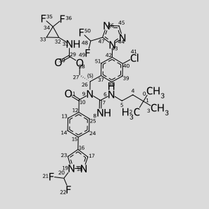 CC(C)(C)CCNC(=N)N(C(=O)c1ccc(-c2cnn(C(F)F)c2)cc1)[C@H](COC(=O)NC1CC1(F)F)c1ccc(Cl)c(-n2ncnc2C(F)F)c1